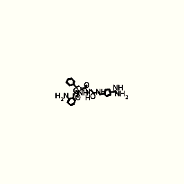 N=C(N)c1ccc(CNC(=O)CNC(=O)[C@@H](CCc2ccccc2)NS(=O)(=O)Cc2ccccc2N)cc1